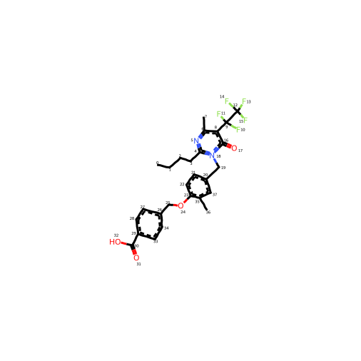 CCCCc1nc(C)c(C(F)(F)C(F)(F)F)c(=O)n1Cc1ccc(OCc2ccc(C(=O)O)cc2)c(C)c1